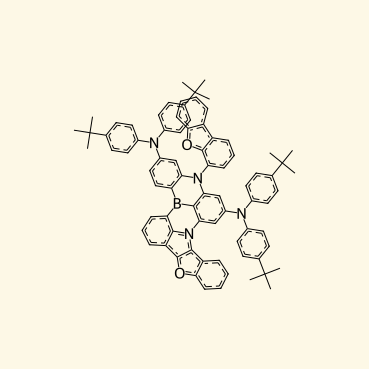 CC(C)(C)c1ccc(N(c2ccc(C(C)(C)C)cc2)c2ccc3c(c2)N(c2cccc4c2oc2ccccc24)c2cc(N(c4ccc(C(C)(C)C)cc4)c4ccc(C(C)(C)C)cc4)cc4c2B3c2cccc3c5oc6ccccc6c5n-4c23)cc1